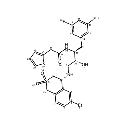 CCc1ccc2c(c1)[C@@H](NC[C@@H](O)[C@H](Cc1cc(F)cc(F)c1)NC(=O)Cc1cccs1)CS(=O)(=O)C2